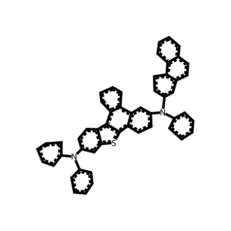 c1ccc(N(c2ccccc2)c2ccc3c(c2)sc2c4ccc(N(c5ccccc5)c5ccc6c(ccc7ccccc76)c5)cc4c4ccccc4c32)cc1